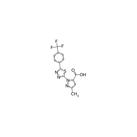 Cc1cc(C(=O)O)n(-c2nnc(-c3ccc(C(F)(F)F)cc3)s2)n1